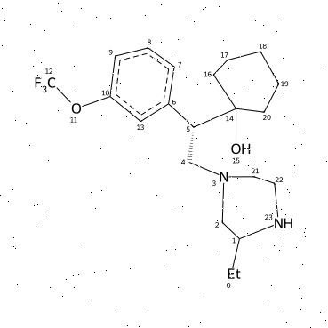 CCC1CN(C[C@H](c2cccc(OC(F)(F)F)c2)C2(O)CCCCC2)CCN1